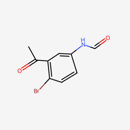 CC(=O)c1cc(NC=O)ccc1Br